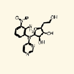 Nc1c(N(c2ccncn2)C2OC(CCO)C(O)C2O)cccc1[N+](=O)[O-]